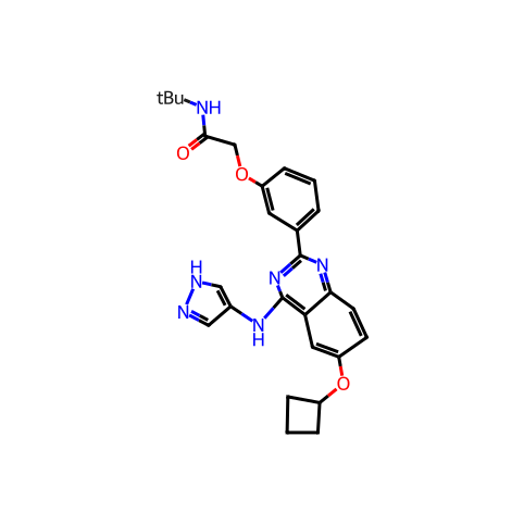 CC(C)(C)NC(=O)COc1cccc(-c2nc(Nc3cn[nH]c3)c3cc(OC4CCC4)ccc3n2)c1